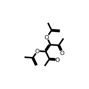 C=C(C)O/C(C(C)=O)=C(\OC(=C)C)C(C)=O